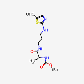 C[C@H](NC(=O)OC(C)(C)C)C(=O)NCCCNc1ncc(C=O)s1